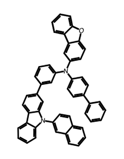 c1ccc(-c2ccc(N(c3cccc(-c4ccc5c6ccccc6n(-c6ccc7ccccc7c6)c5c4)c3)c3ccc4oc5ccccc5c4c3)cc2)cc1